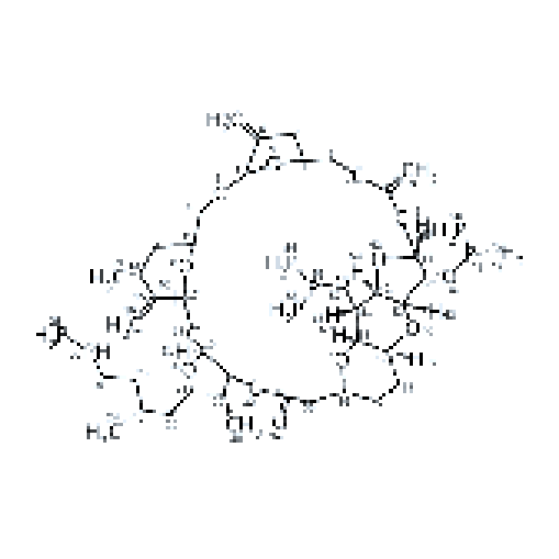 C=C1CCC2CC(=C)C(CCC3C[C@@H](C)C(=C)[C@@H](C[C@@H]4O[C@H](C[C@H](C)CCPP)[C@H](C)C4CC(=O)CC4CC[C@@H]5O[C@@H]6[C@@H](O[C@H](C1)[C@@H]6OP(P)P)[C@@H](OP(P)P)[C@H]5O4)O3)O2